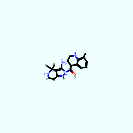 Cc1cccc2c1NCCC2C(=O)n1nc2c(c1N)C(C)(C)NCC2